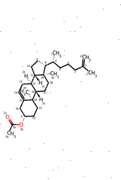 C=C(C)CCC[C@@H](C)[C@H]1CC[C@H]2[C@@H]3CC=C4C[C@@H](OC(C)=O)CC[C@]4(C)[C@H]3CC[C@]12C